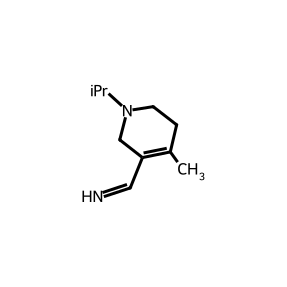 CC1=C(C=N)CN(C(C)C)CC1